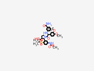 COC(=O)Nc1ccc(S(=O)(=O)C(C)C)c(C2C(C(=O)O)CCN2C(=O)[C@H](Nc2cccc(C(N)=O)c2)c2ccc(OC)c(OC)c2)c1